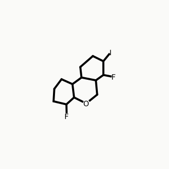 FC1CCCC2C3CCC(I)C(F)C3COC12